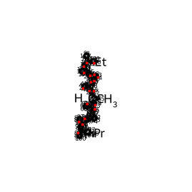 CCc1ccc(N(c2ccccc2)c2ccc3c4cccc5c6cc7c(cc6n(c3c2)c45)c2cccc3c4ccc(N(c5ccccc5)c5ccc(C(C)CC(C)c6ccc(N(c8ccccc8)c8ccc9c%10cccc%11c%12cc%13c(cc%12n(c9c8)c%10%11)c8cccc9c%10ccc(N(c%11ccccc%11)c%11ccc(C(C)C)cc%11)cc%10n%13c98)cc6)cc5)cc4n7c32)cc1